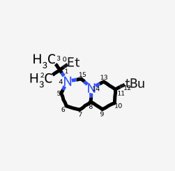 CCC(C)(C)N1CCCC2CCC(C(C)(C)C)CN2C1